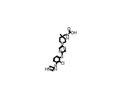 CC1(CNC(=O)O)CCN(c2cnc(Sc3cccc(NC4CNC4)c3Cl)cn2)CC1